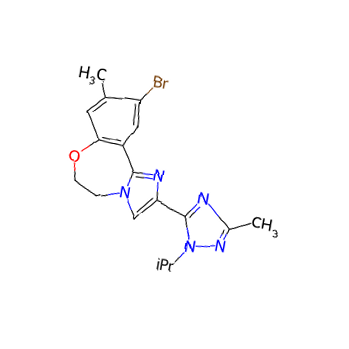 Cc1nc(-c2cn3c(n2)-c2cc(Br)c(C)cc2OCC3)n(C(C)C)n1